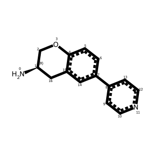 N[C@H]1COc2ccc(-c3ccncc3)cc2C1